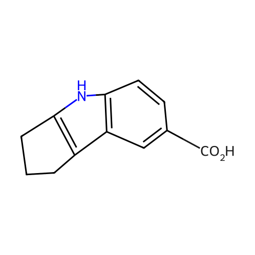 O=C(O)c1ccc2[nH]c3c(c2c1)CCC3